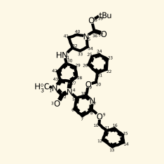 Cn1c(=O)n(-c2ccc(OCc3ccccc3)nc2OCc2ccccc2)c2ccc(NC3CCN(C(=O)OC(C)(C)C)CC3)cc21